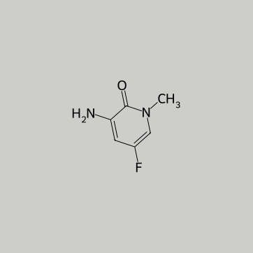 Cn1cc(F)cc(N)c1=O